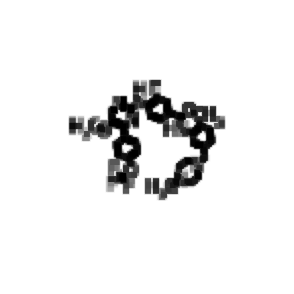 COc1cnc(Nc2ccc(C(=O)Nc3cc(CN4CCN(C)CC4)ccc3C)cc2F)nc1-c1ccc(OC(F)(F)F)cc1